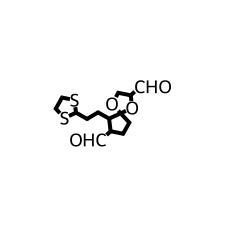 O=CC1COC2(CCC(C=O)C2CCC2SCCS2)O1